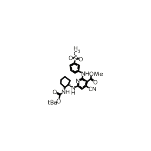 COC(=O)c1c(C#N)cc(N[C@@H]2CCCC[C@@H]2NC(=O)OC(C)(C)C)nc1Nc1cccc(S(C)(=O)=O)c1